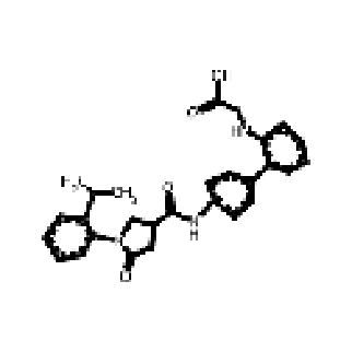 CC(C)c1ccccc1N1CC(C(=O)Nc2ccc(-c3ccccc3NCC(=O)O)cc2)CC1=O